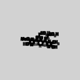 COc1nc(C(SCCS(=O)(=O)O)C2CCCC(C(SCCS(=O)(=O)O)c3cnc(O)c(C)n3)C2=O)cnc1O